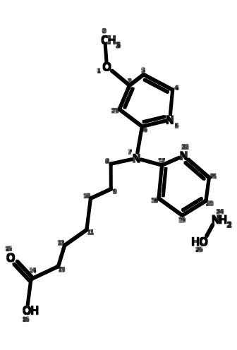 COc1ccnc(N(CCCCCCC(=O)O)c2ccccn2)c1.NO